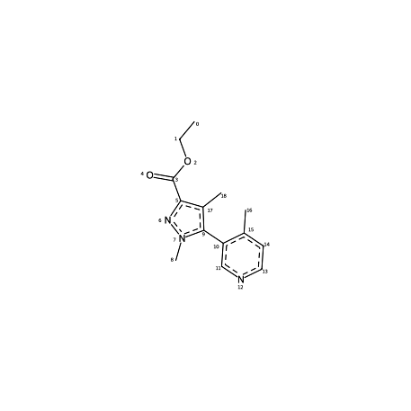 CCOC(=O)c1nn(C)c(-c2cnccc2C)c1C